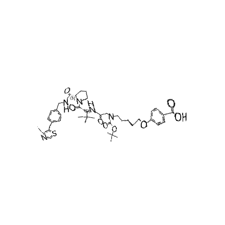 Cc1ncsc1-c1ccc(CNC(=O)[C@@H]2CCCN2C(=O)[C@@H](NC(=O)CN(CCCCCOc2ccc(C(=O)O)cc2)C(=O)OC(C)(C)C)C(C)(C)C)cc1